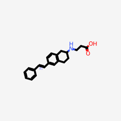 O=C(O)CCNC1CCc2cc(/C=C/c3ccccc3)ccc2C1